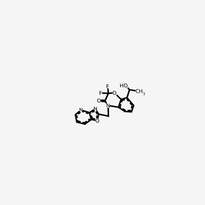 CC(O)c1cccc2c1OC(F)(F)C(=O)N2Cc1nc2ncccc2o1